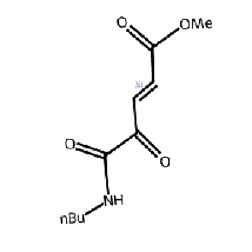 CCCCNC(=O)C(=O)/C=C/C(=O)OC